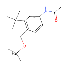 CC(=O)Nc1ccc(CO[SiH](C)C)c(C(C)(C)C)c1